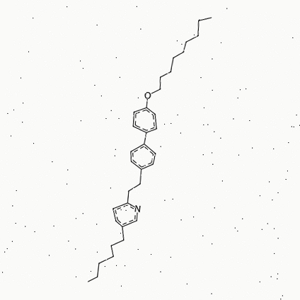 CCCCCCCCCOc1ccc(-c2ccc(CCc3ccc(CCCCCC)cn3)cc2)cc1